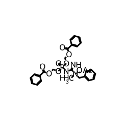 CC(=O)O[N+](C)(Cc1ccccc1)C(=N)NP(=O)(OCOC(=O)c1ccccc1)OCOC(=O)c1ccccc1